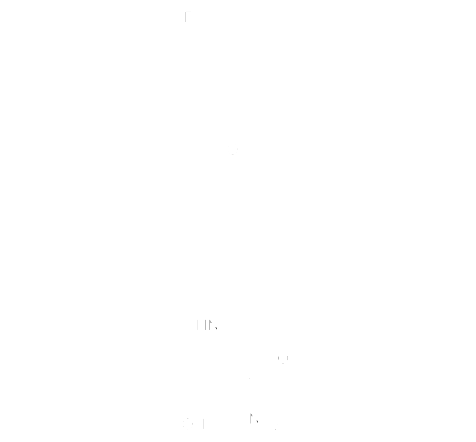 NC(=O)C(CO)NCc1ccc(OCc2cccc(F)c2)cc1